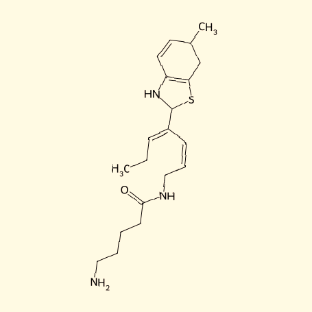 CC/C=C(\C=C/CNC(=O)CCCCN)C1NC2=C(CC(C)C=C2)S1